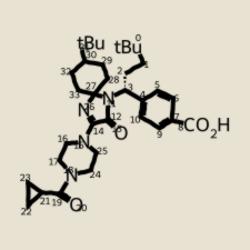 CC(C)(C)CC[C@H](c1ccc(C(=O)O)cc1)N1C(=O)C(N2CCN(C(=O)C3CC3)CC2)=NC12CCC(C(C)(C)C)CC2